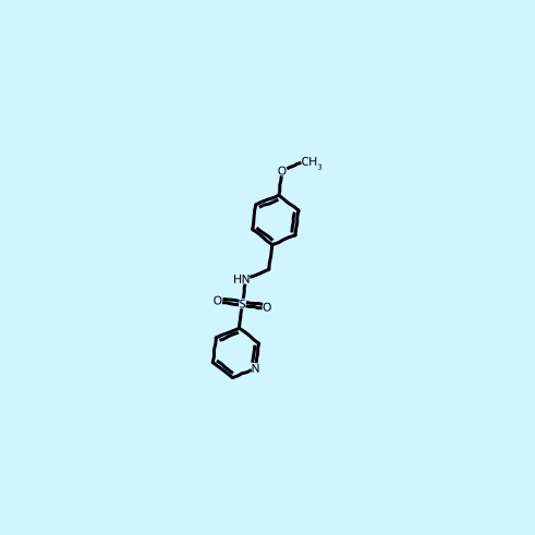 COc1ccc(CNS(=O)(=O)c2cccnc2)cc1